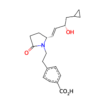 O=C(O)c1ccc(CCN2C(=O)CC[C@@H]2/C=C/[C@@H](O)CC2CC2)cc1